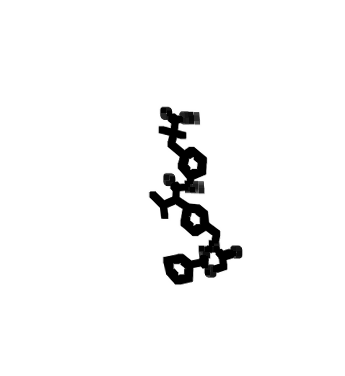 CC(C)C(C(=O)Nc1cccc(CC(C)(C)C(=O)O)c1)c1ccc(CN2N=C(c3ccccc3)OCC2=O)cc1